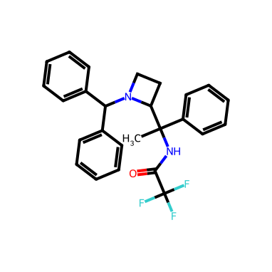 CC(NC(=O)C(F)(F)F)(c1ccccc1)C1CCN1C(c1ccccc1)c1ccccc1